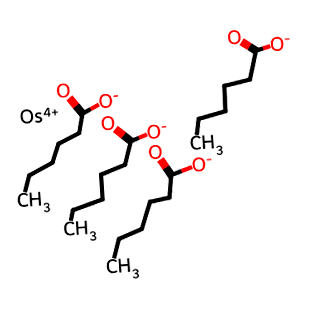 CCCCCC(=O)[O-].CCCCCC(=O)[O-].CCCCCC(=O)[O-].CCCCCC(=O)[O-].[Os+4]